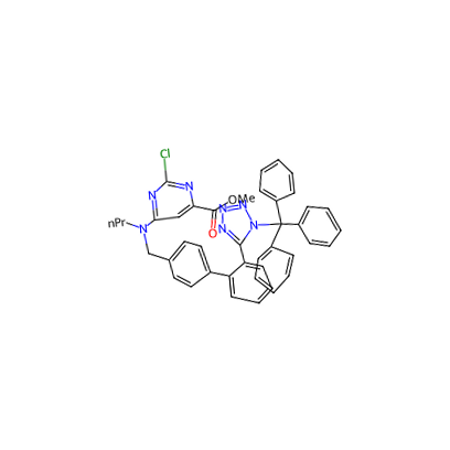 CCCN(Cc1ccc(-c2ccccc2-c2nnnn2C(c2ccccc2)(c2ccccc2)c2ccccc2)cc1)c1cc(C(=O)OC)nc(Cl)n1